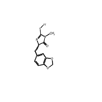 CCSC1=NC(=Cc2ccc3c(c2)OCO3)C(=O)N1C